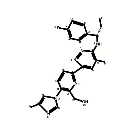 CC[C@H](Nc1nnc(-c2ccc(-n3cnc(C)c3)c(CO)n2)cc1C)c1ccc(F)cc1